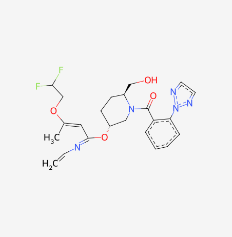 C=C/N=C(\C=C(/C)OCC(F)F)O[C@@H]1CC[C@@H](CO)N(C(=O)c2ccccc2-n2nccn2)C1